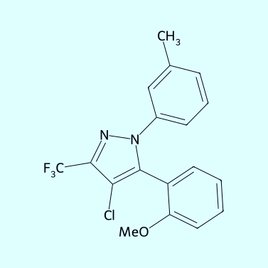 COc1ccccc1-c1c(Cl)c(C(F)(F)F)nn1-c1cccc(C)c1